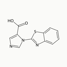 O=C(O)c1cncn1-c1nc2ccccc2s1